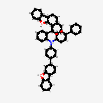 c1ccc(-c2ccc(N(c3ccc(-c4ccc5c(c4)oc4ccccc45)cc3)c3ccccc3-c3cccc4ccc5c6ccccc6oc5c34)cc2)cc1